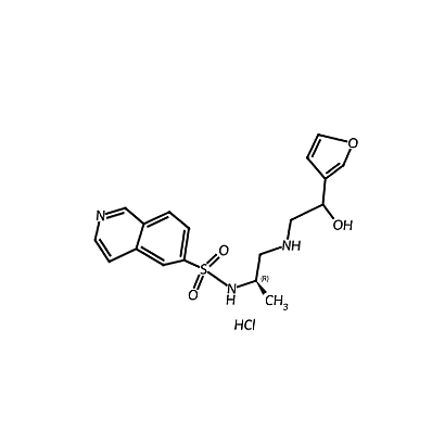 C[C@H](CNCC(O)c1ccoc1)NS(=O)(=O)c1ccc2cnccc2c1.Cl